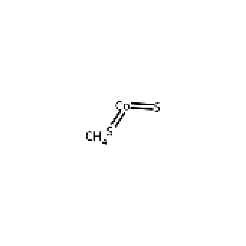 C.[S]=[Co]=[S]